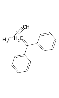 C#CC.C=C(c1ccccc1)c1ccccc1